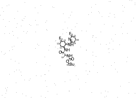 CC(NC(=O)OC(C)(C)C)C(=O)Nc1ccc(F)cc1Nc1cccc(F)n1